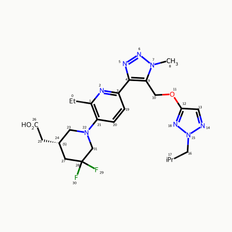 CCc1nc(-c2nnn(C)c2COc2cnn(CC(C)C)n2)ccc1N1C[C@@H](CC(=O)O)CC(F)(F)C1